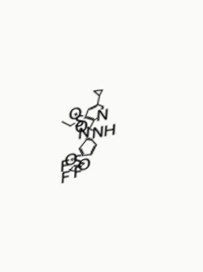 CCS(=O)(=O)c1cc(C2CC2)cnc1-c1nc2cc(S(=O)(=O)C(F)(F)F)ccc2[nH]1